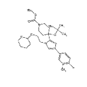 Cc1cc(-c2cn(CCOC3CCCCO3)c(C3(O[Si](C)(C)C(C)(C)C)CCN(C(=O)OC(C)(C)C)CC3)n2)ccc1F